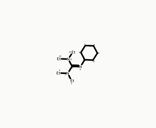 CCN(CC)C(=NC1CCCCC1)N(CC)CC